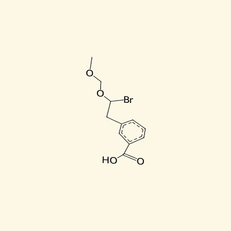 COCOC(Br)Cc1cccc(C(=O)O)c1